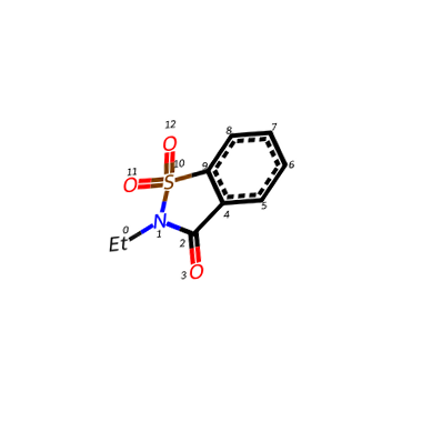 CCN1C(=O)c2ccccc2S1(=O)=O